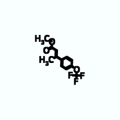 COC(=O)/C=C(\C)c1ccc(OC(F)(F)F)cc1